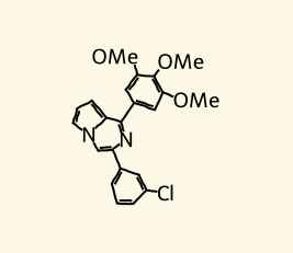 COc1cc(-c2nc(-c3cccc(Cl)c3)cn3cccc23)cc(OC)c1OC